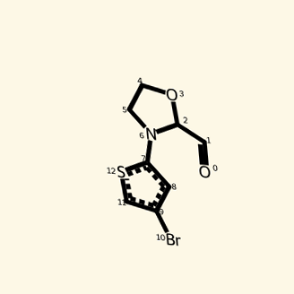 O=CC1OCCN1c1cc(Br)cs1